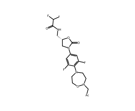 CC(=O)CN1CCN(c2c(F)cc(N3C[C@H](CNC(=O)C(F)F)OC3=O)cc2F)CCO1